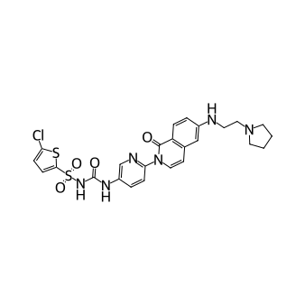 O=C(Nc1ccc(-n2ccc3cc(NCCN4CCCC4)ccc3c2=O)nc1)NS(=O)(=O)c1ccc(Cl)s1